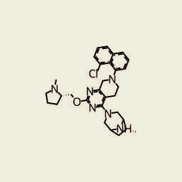 C[C@@H]1CC2CN(c3nc(OC[C@@H]4CCCN4C)nc4c3CCN(c3cccc5cccc(Cl)c35)C4)CC1N2